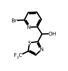 OC(c1cccc(Br)n1)c1ncc(C(F)(F)F)s1